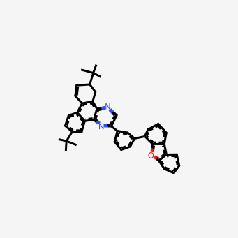 CC(C)(C)c1ccc2c3c(c4ncc(-c5cccc(-c6cccc7c6oc6ccccc67)c5)nc4c2c1)CC(C(C)(C)C)C=C3